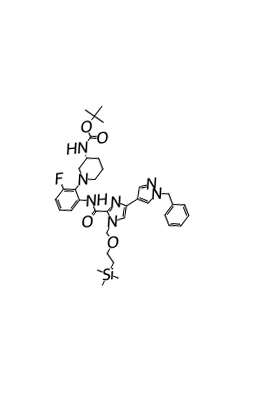 CC(C)(C)OC(=O)N[C@@H]1CCCN(c2c(F)cccc2NC(=O)c2nc(-c3cnn(Cc4ccccc4)c3)cn2COCC[Si](C)(C)C)C1